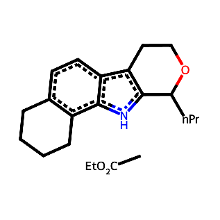 CCCC1OCCc2c1[nH]c1c3c(ccc21)CCCC3.CCOC(C)=O